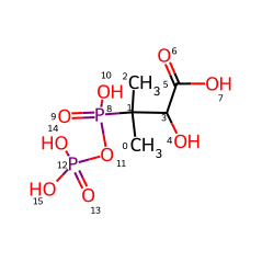 CC(C)(C(O)C(=O)O)P(=O)(O)OP(=O)(O)O